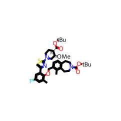 CO[C@@H]1CN(c2nc(-c3cc(F)cc(C)c3OCc3ccc4c(c3C)CCN(C(=O)OC(C)(C)C)CC4)cs2)CC[C@@H]1C(=O)OC(C)(C)C